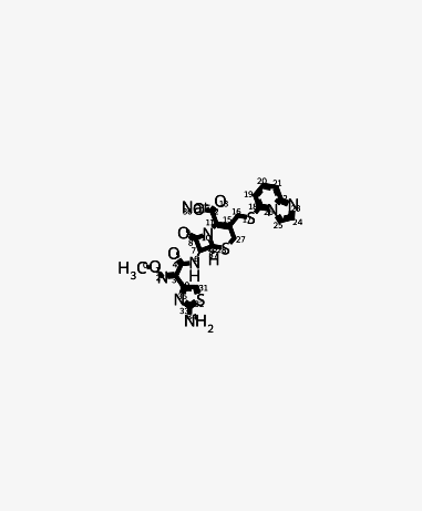 CO/N=C(\C(=O)N[C@@H]1C(=O)N2C(C(=O)[O-])=C(CSc3cccc4nccn34)CS[C@@H]12)c1csc(N)n1.[Na+]